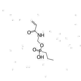 C=CC(=O)NCOP(=O)(O)CCC